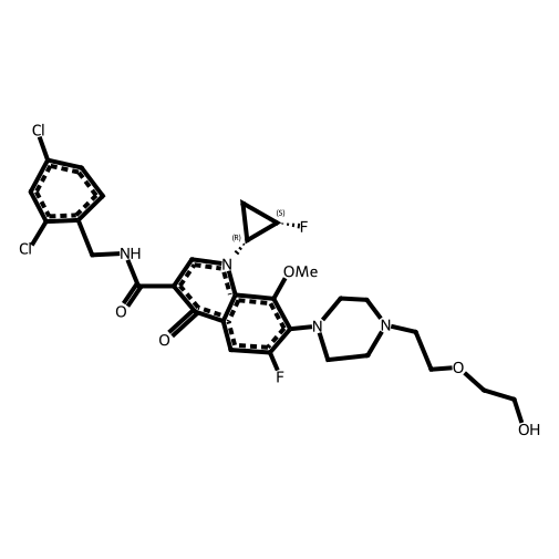 COc1c(N2CCN(CCOCCO)CC2)c(F)cc2c(=O)c(C(=O)NCc3ccc(Cl)cc3Cl)cn([C@@H]3C[C@@H]3F)c12